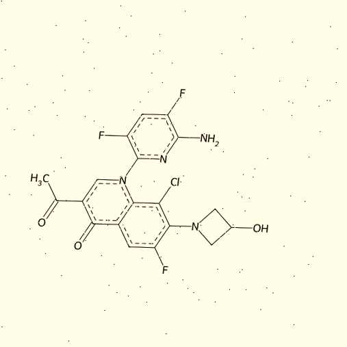 CC(=O)c1cn(-c2nc(N)c(F)cc2F)c2c(Cl)c(N3CC(O)C3)c(F)cc2c1=O